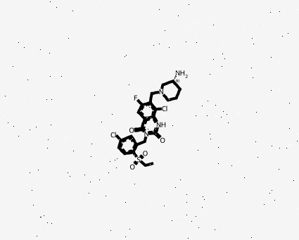 CCS(=O)(=O)c1ccc(Cl)cc1Cn1c(=O)[nH]c2c(Cl)c(CN3CCC[C@@H](N)C3)c(F)cc2c1=O